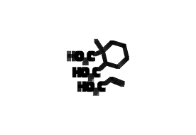 C=CC(=O)O.CC1(C(=O)O)CCCCC1C(=O)O